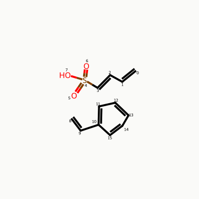 C=CC=CS(=O)(=O)O.C=Cc1ccccc1